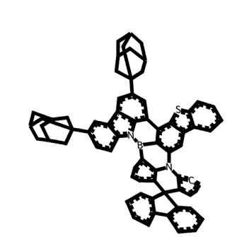 c1ccc2c(c1)-c1ccccc1C21c2ccccc2N2c3cc4c(sc5ccccc54)c4c3B(c3cccc1c32)n1c2ccc(C35CC6CC(CC(C6)C3)C5)cc2c2cc(C35CC6CC(CC(C6)C3)C5)cc-4c21